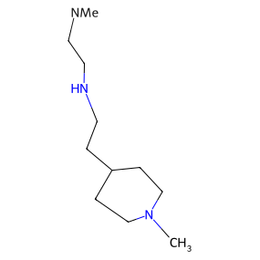 CNCCNCCC1CCN(C)CC1